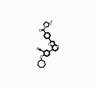 N#Cc1cc(-c2ccnc3cc(-c4ccc(C(=O)N5CC[C@H](F)C5)cc4)oc23)ccc1OC1CCCCCC1